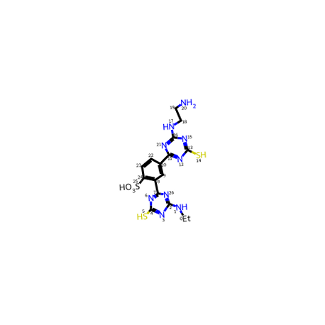 CCNc1nc(S)nc(-c2cc(-c3nc(S)nc(NCCN)n3)ccc2S(=O)(=O)O)n1